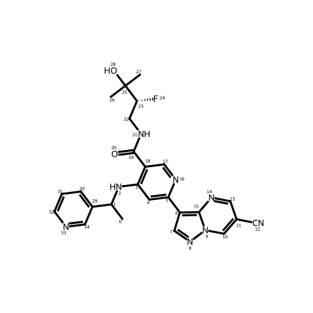 CC(Nc1cc(-c2cnn3cc(C#N)cnc23)ncc1C(=O)NC[C@@H](F)C(C)(C)O)c1cccnc1